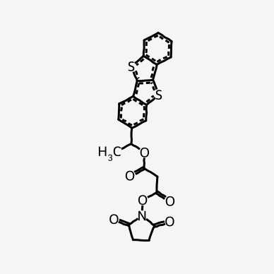 CC(OC(=O)CC(=O)ON1C(=O)CCC1=O)c1ccc2c(c1)sc1c3ccccc3sc21